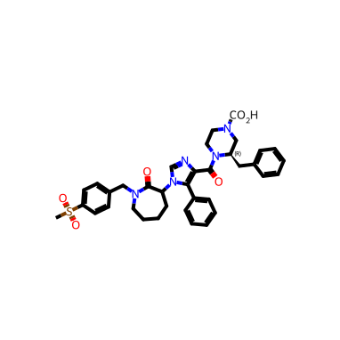 CS(=O)(=O)c1ccc(CN2CCCCC(n3cnc(C(=O)N4CCN(C(=O)O)C[C@H]4Cc4ccccc4)c3-c3ccccc3)C2=O)cc1